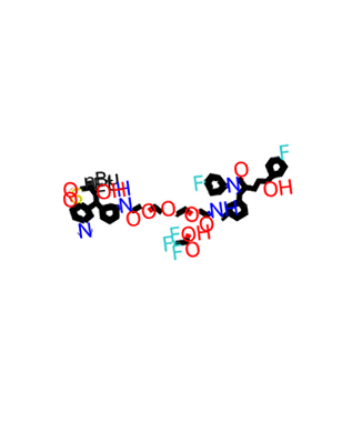 CCCCC1(CC)CS(=O)(=O)c2ccc(N(C)C)cc2C(c2cccc(NC(=O)COCCOCCOCC(=O)NCc3cccc(C4C(CCC(O)c5ccc(F)cc5)C(=O)N4c4ccc(F)cc4)c3)c2)C1O.O=C(O)C(F)(F)F